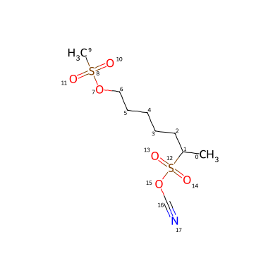 CC(CCCCCOS(C)(=O)=O)S(=O)(=O)OC#N